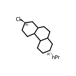 CCC[C@@H]1CCC2C(CCC3C[C@H](Cl)CCC32)C1